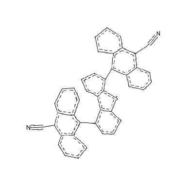 N#Cc1c2ccccc2c(-c2cccc3c2sc2cccc(-c4c5ccccc5c(C#N)c5ccccc45)c23)c2ccccc12